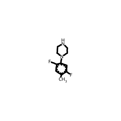 Cc1cc(F)c(N2CCNCC2)cc1F